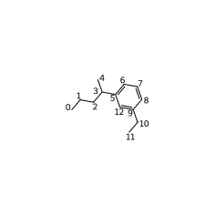 CCCC(C)c1cccc(CC)c1